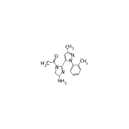 CC(=O)N1CC(N)N=C1c1cc(C)nn1-c1ccccc1C